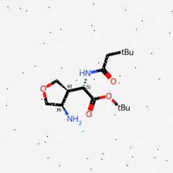 CC(C)(C)CC(=O)N[C@H](C(=O)OC(C)(C)C)[C@@H]1COC[C@@H]1N